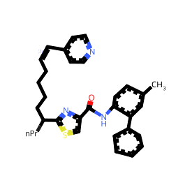 CCCC(CCCC/C=C\c1ccncc1)c1nc(C(=O)Nc2ccc(C)cc2-c2ccccc2)cs1